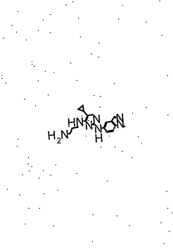 Cn1ncc2cc(Nc3ncc(C4CC4)c(NCCCN)n3)ccc21